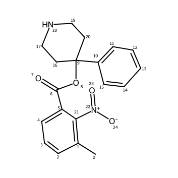 Cc1cccc(C(=O)OC2(c3ccccc3)CCNCC2)c1[N+](=O)[O-]